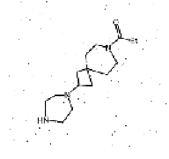 CCC(=O)N1CCC2(CC1)CC(N1CCNCC1)C2